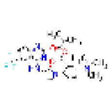 CC(C)C(=O)OC[C@@H]1C[C@H](N(C)C(C)C)CC[C@@H]1N1CCC(Nc2ncnc3ccc(C(F)(F)F)cc23)C1=O